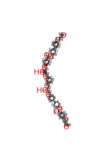 O=C(OC1CCC(c2ccc(OCC(O)COc3cccc(OC[C@H](O)COc4ccc(C(=O)OC5CCC(c6ccc(OCC7CO7)cc6)CC5)cc4)c3)cc2)CC1)c1ccc(OCC2CO2)cc1